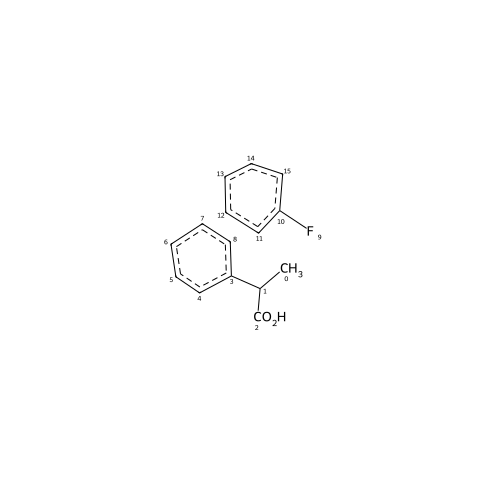 CC(C(=O)O)c1ccccc1.Fc1ccccc1